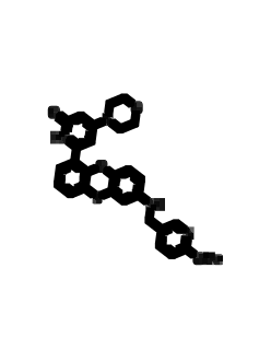 COc1ccc(CNc2ccc3c(c2)Sc2cccc(-c4cc(N5CCOCC5)cc(=O)[nH]4)c2O3)cn1